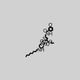 CCCCCCCCNC1CCN(S(=O)(=O)c2sc(CNC(=O)c3cccc(OC)c3)cc2C(=O)OCC)CC1